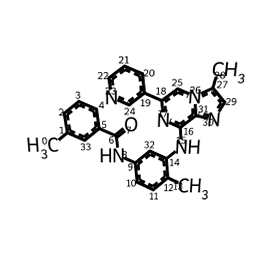 Cc1cccc(C(=O)Nc2ccc(C)c(Nc3nc(-c4cccnc4)cn4c(C)cnc34)c2)c1